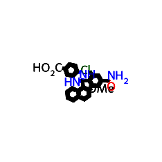 COc1ccc2ccccc2c1C1(c2ccc(C(N)=O)cc2Cl)Nc2ccc(C(=O)O)cc2N1